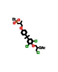 CCS(=O)(=O)CC(C)COc1ccc(C(C)(C)c2cc(Cl)c(OCC(CCl)OC(C)=O)c(Cl)c2)cc1